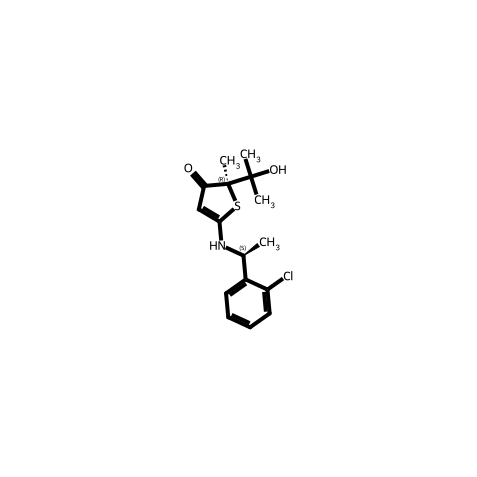 C[C@H](NC1=CC(=O)[C@@](C)(C(C)(C)O)S1)c1ccccc1Cl